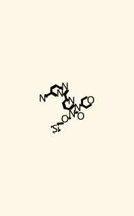 C[Si](C)(C)CCOCn1c(=O)n(C2CCOCC2)c2nc(-c3cnc4ccc(C#N)cn34)ccc21